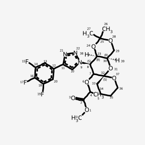 COC(=O)C(C)OC1[C@@H](n2cc(-c3cc(F)c(F)c(F)c3)nn2)[C@H]2OC(C)(C)OC[C@H]2O[C@@]12CCCCO2